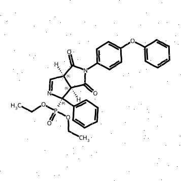 CCOP(=O)(OCC)[C@]1(c2ccccc2)N=C[C@H]2C(=O)N(c3ccc(Oc4ccccc4)cc3)C(=O)[C@H]21